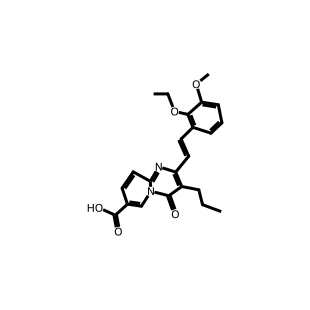 CCCc1c(C=Cc2cccc(OC)c2OCC)nc2ccc(C(=O)O)cn2c1=O